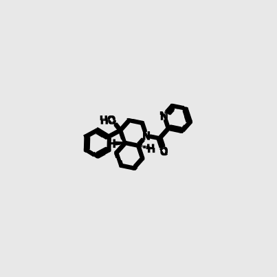 O=C(c1ccccn1)N1CCC(O)(c2ccccc2)[C@H]2CCCC[C@@H]21